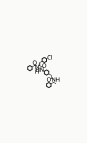 CC(NC(=O)Cc1ccc(NC(=O)/C(=C\c2ccc(Cl)cc2)NC(=O)c2ccccc2)cc1)c1ccccc1